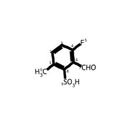 Cc1ccc(F)c(C=O)c1S(=O)(=O)O